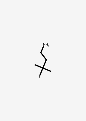 CC(C)(I)CCN